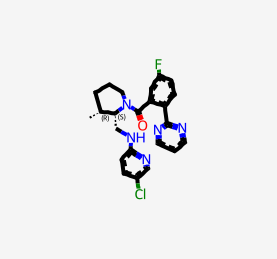 C[C@@H]1CCCN(C(=O)c2cc(F)ccc2-c2ncccn2)[C@@H]1CNc1ccc(Cl)cn1